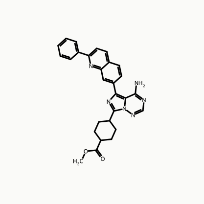 COC(=O)C1CCC(c2nc(-c3ccc4ccc(-c5ccccc5)nc4c3)c3c(N)ncnn23)CC1